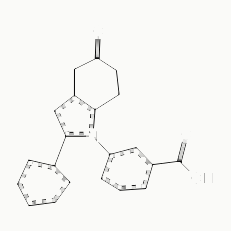 O=C1CCc2c(cc(-c3ccccc3)n2-c2cccc(C(=O)O)c2)C1